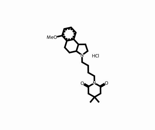 COc1cccc2c1CCC1C2CCN1CCCCN1C(=O)CC(C)(C)CC1=O.Cl